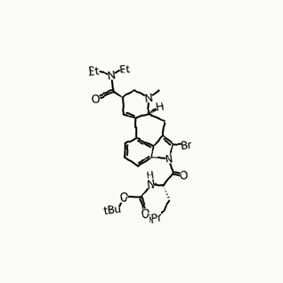 CCN(CC)C(=O)[C@@H]1C=C2c3cccc4c3c(c(Br)n4C(=O)[C@H](CC(C)C)NC(=O)OC(C)(C)C)C[C@H]2N(C)C1